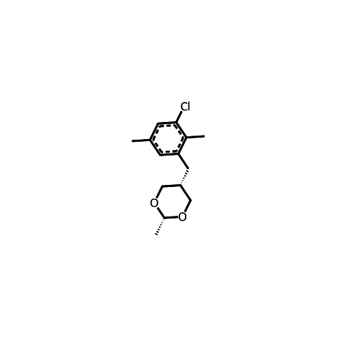 Cc1cc(Cl)c(C)c(C[C@H]2CO[C@@H](C)OC2)c1